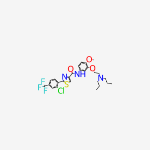 CCCN(CCC)CCOc1cc(NC(=O)c2csc(-c3ccc(C(F)(F)F)cc3Cl)n2)ccc1OC